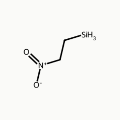 O=[N+]([O-])CC[SiH3]